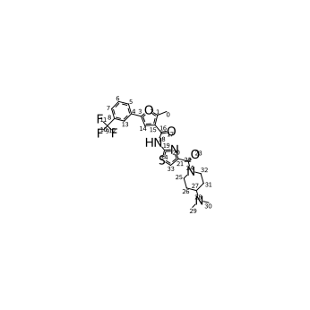 Cc1oc(-c2cccc(C(F)(F)F)c2)cc1C(=O)Nc1nc(C(=O)N2CCC(N(C)C)CC2)cs1